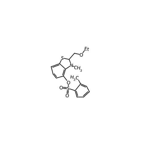 CCOCC1Sc2cccc(OS(=O)(=O)c3ccccc3C)c2N1C